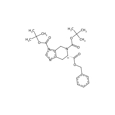 CC(C)(C)OC(=O)N1Cc2c(ncn2C(=O)OC(C)(C)C)C[C@H]1C(=O)OCc1ccccc1